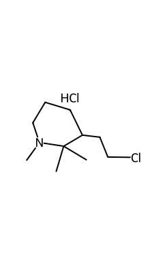 CN1CCCC(CCCl)C1(C)C.Cl